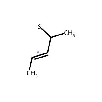 C/C=C/C(C)[S]